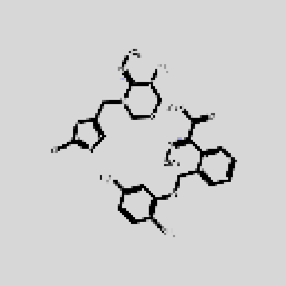 CN1COCN(Cc2cnc(Cl)s2)/C1=N/[N+](=O)[O-].CNC(=O)/C(=N/OC)c1ccccc1COc1cc(C)ccc1C